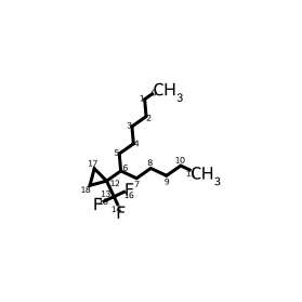 CCCCCCC(CCCCC)C1(C(F)(F)F)CC1